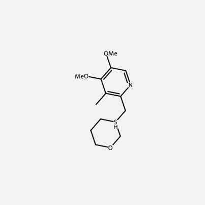 COc1cnc(C[SH]2CCCOC2)c(C)c1OC